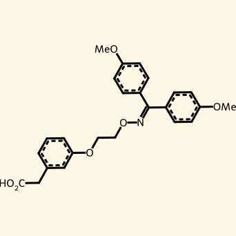 COc1ccc(C(=NOCCOc2cccc(CC(=O)O)c2)c2ccc(OC)cc2)cc1